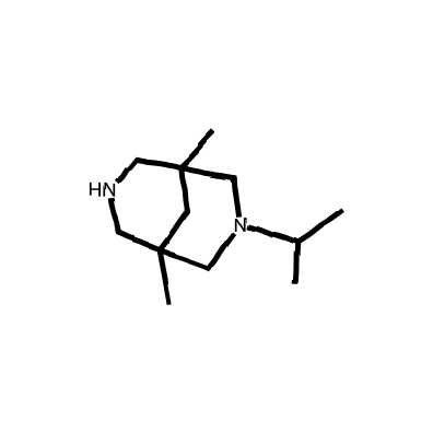 CC(C)N1CC2(C)CNCC(C)(C1)C2